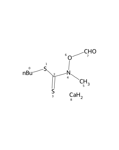 CCCCSC(=S)N(C)OC=O.[CaH2]